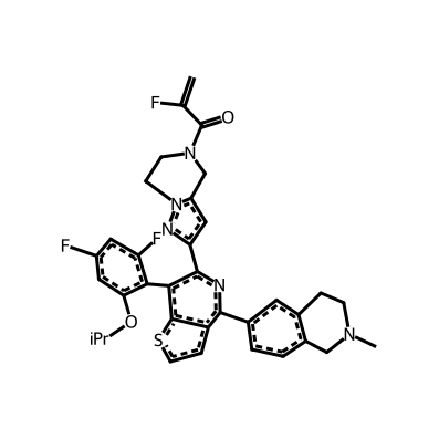 C=C(F)C(=O)N1CCn2nc(-c3nc(-c4ccc5c(c4)CCN(C)C5)c4ccsc4c3-c3c(F)cc(F)cc3OC(C)C)cc2C1